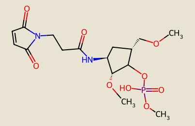 COC[C@H]1C[C@H](NC(=O)CCN2C(=O)C=CC2=O)[C@@H](OC)C1OP(=O)(O)OC